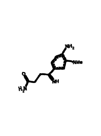 CNc1cc(C(=N)CCC(N)=O)ccc1N